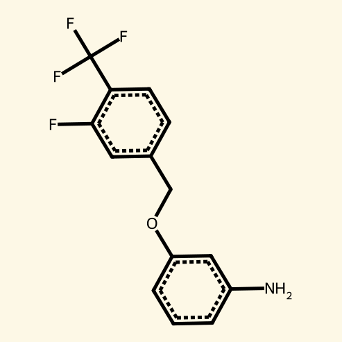 Nc1cccc(OCc2ccc(C(F)(F)F)c(F)c2)c1